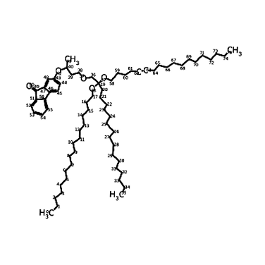 CCCCCCCCCCCCCCCCCCOC(CCCCCCCCCCCCCCCC)(COCCC(C)Oc1ccc2c(c1)C(=O)c1ccccc1-2)OCCCCCCCCCCCCCCCCCC